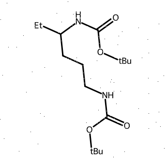 CCC(CCCNC(=O)OC(C)(C)C)NC(=O)OC(C)(C)C